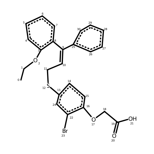 CCOc1ccccc1/C(=C\CSc1ccc(OCC(=O)O)c(Br)c1)c1ccccc1